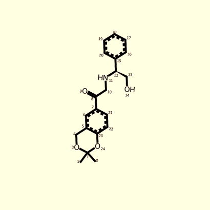 CC1(C)OCc2cc(C(=O)CN[C@H](CO)c3ccccc3)ccc2O1